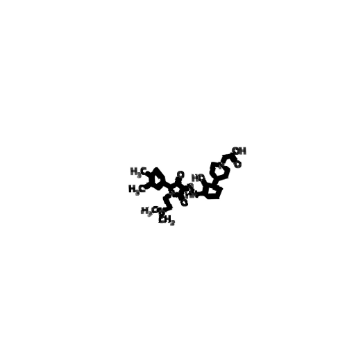 Cc1ccc(C2C(=O)C(=NNc3cccc(C4CCN(CC(=O)O)CC4)c3O)C(=O)N2CCN(C)C)cc1C